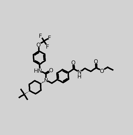 CCOC(=O)CCNC(=O)c1ccc(CN(C(=O)Nc2ccc(OC(F)(F)F)cc2)[C@H]2CC[C@@H](C(C)(C)C)CC2)cc1